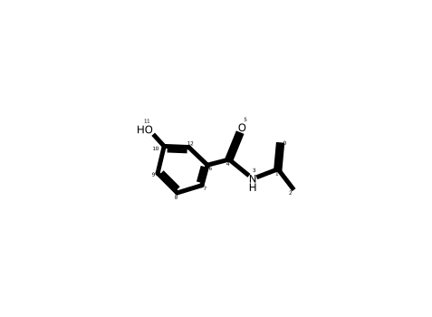 C=C(C)NC(=O)c1cccc(O)c1